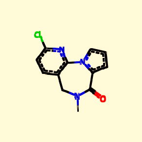 CN1Cc2ccc(Cl)nc2-n2cccc2C1=O